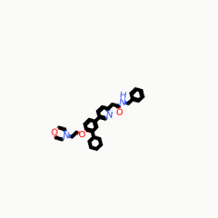 O=C(Cc1ccc(-c2ccc(OCCN3CCOCC3)c(C3CCCCC3)c2)cn1)NCc1ccccc1